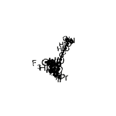 CC(C)N(C)[C@@H]1CC[C@H](N2CC[C@H](Nc3ncnc4ccc(C(F)(F)F)cc34)C2=O)[C@H](NC(=O)[C@H]2CC[C@@H](NC(=O)CCOCCOCCNC(=O)CCNC(=O)[C@H]3CC(=O)N(C)[C@@H]3c3cccnc3)CC2)C1